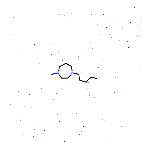 CC[C@H](C)[CH]CN1CCCN(C)CC1